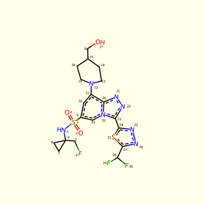 O=S(=O)(NC1(CF)CC1)c1cc(N2CCC(CO)CC2)c2nnc(-c3nnc(C(F)F)s3)n2c1